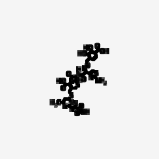 Cc1cc(SCC2=C(C(=O)O)N3C(=O)[C@@H](NC(=O)C(=NOCc4ccc(C(=O)O)c(O)c4O)c4csc(N)n4)[C@H]3SC2)n2nc(S(=O)(=O)O)nc2n1